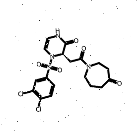 O=C1CCCN(C(=O)C[C@@H]2C(=O)NC=CN2S(=O)(=O)c2ccc(Cl)c(Cl)c2)CC1